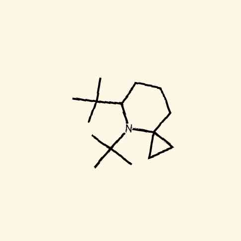 CC(C)(C)C1CCCC2(CC2)N1C(C)(C)C